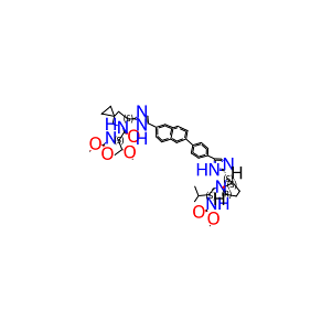 COC(=O)N[C@H](C(=O)N1CC2(CC2)C[C@H]1c1ncc(-c2ccc3cc(-c4ccc(-c5cnc([C@@H]6[C@H]7CC[C@H](C7)N6C[C@@H](NC(=O)OC)C(C)C)[nH]5)cc4)ccc3c2)[nH]1)C(C)OC